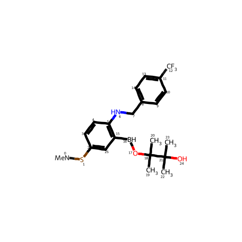 CNSc1ccc(NCc2ccc(C(F)(F)F)cc2)c(BOC(C)(C)C(C)(C)O)c1